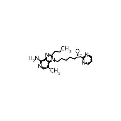 CCCc1nc2c(N)ncc(C)c2n1CCCCC[S+]([O-])c1ncccn1